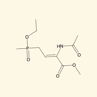 CCOP(C)(=O)CC=C(NC(C)=O)C(=O)OC